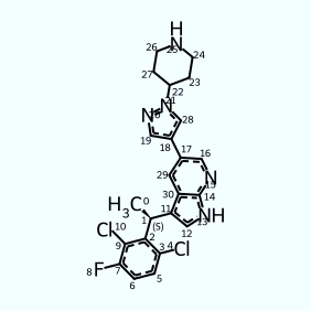 C[C@H](c1c(Cl)ccc(F)c1Cl)c1c[nH]c2ncc(-c3cnn(C4CCNCC4)c3)cc12